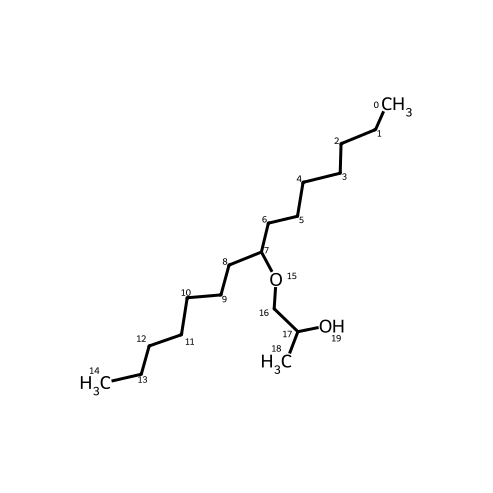 CCCCCCCC(CCCCCCC)OCC(C)O